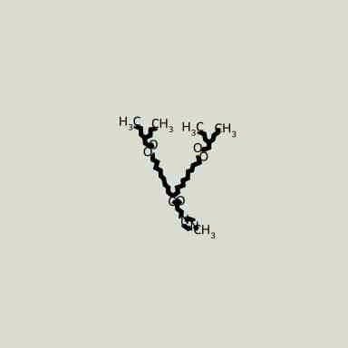 CCCCC(CCCC)CC(=O)OCCCCCCCCCCC(CCCCCCCCCCOC(=O)CC(CCCC)CCCC)OC(=O)CCCN1CCN(C)CC1